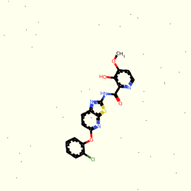 COc1ccnc(C(=O)Nc2nc3ccc(Oc4ccccc4Cl)nc3s2)c1O